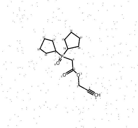 C#CCOC(=O)CP(=O)(C1CCCC1)C1CCCC1